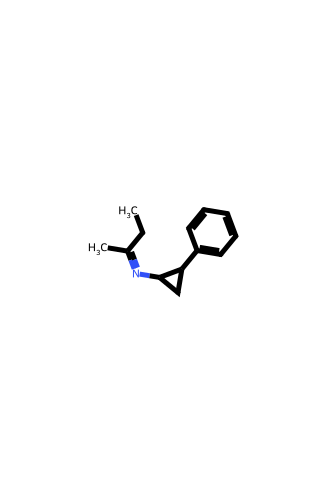 CCC(C)=NC1CC1c1ccccc1